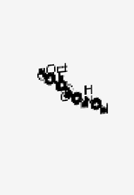 CCCCCCCCOc1ccc(-c2ccc(OC(=O)c3ccc(N(C)Nc4ccc(N(C)C)cc4)cc3)cc2F)cc1